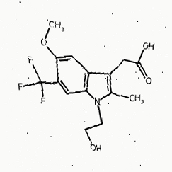 COc1cc2c(CC(=O)O)c(C)n(CCO)c2cc1C(F)(F)F